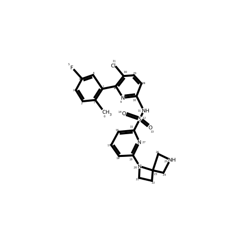 Cc1ccc(F)cc1-c1nc(NS(=O)(=O)c2cccc(N3CCC34CNC4)n2)ccc1Cl